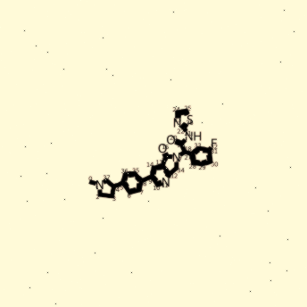 CN1CCC(c2ccc(-c3cnc4c(c3)C(=O)N(C(C(=O)Nc3nccs3)c3cccc(F)c3)C4)cc2)C1